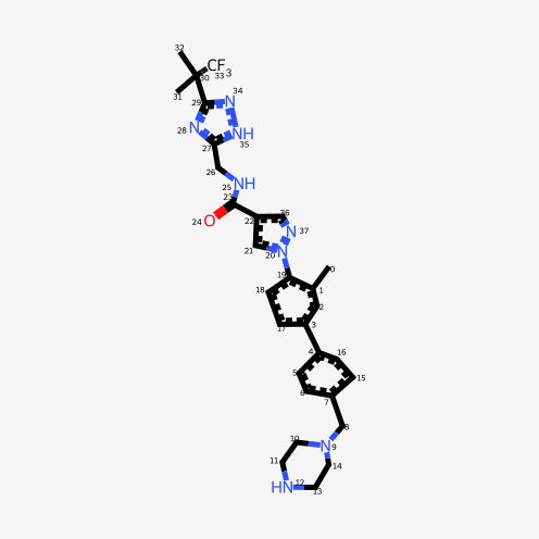 Cc1cc(-c2ccc(CN3CCNCC3)cc2)ccc1-n1cc(C(=O)NCc2nc(C(C)(C)C(F)(F)F)n[nH]2)cn1